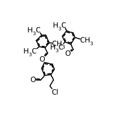 Cc1cc(C)c(C=O)c(C)c1.Cc1cc(C)c(C=O)c(C)c1.O=Cc1ccccc1CCCl